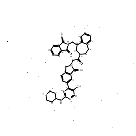 O=C(CN1Cc2ccc(-c3nc(NC4CCOCC4)ncc3Cl)cc2C1=O)N1CCc2ccccc2C(CN2C(=O)c3ccccc3C2=O)C1